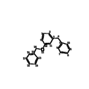 [c]1ccc(Cc2ccccc2)cc1OCc1ccccc1